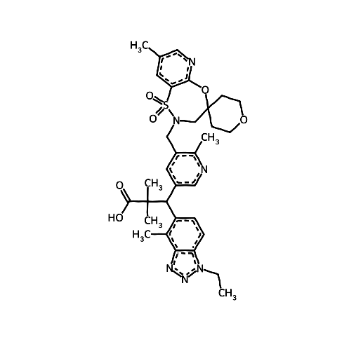 CCn1nnc2c(C)c(C(c3cnc(C)c(CN4CC5(CCOCC5)Oc5ncc(C)cc5S4(=O)=O)c3)C(C)(C)C(=O)O)ccc21